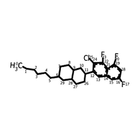 CCCCCCC1CCC2CC(c3cc4cc(F)cc(F)c4c(F)c3Cl)CCC2C1